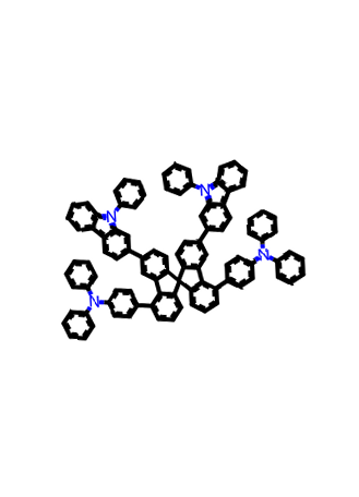 c1ccc(N(c2ccccc2)c2ccc(-c3cccc4c3-c3cc(-c5ccc6c7ccccc7n(-c7ccccc7)c6c5)ccc3C43c4ccc(-c5ccc6c7ccccc7n(-c7ccccc7)c6c5)cc4-c4c(-c5ccc(N(c6ccccc6)c6ccccc6)cc5)cccc43)cc2)cc1